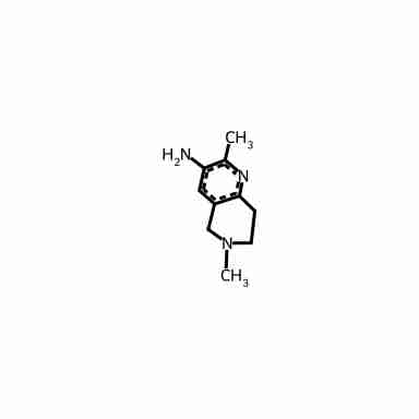 Cc1nc2c(cc1N)CN(C)CC2